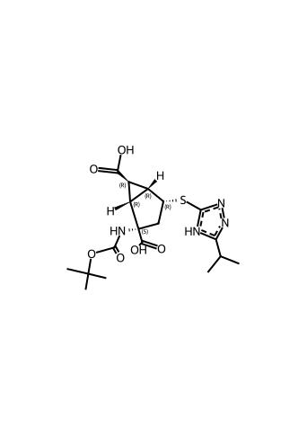 CC(C)c1nnc(S[C@@H]2C[C@@](NC(=O)OC(C)(C)C)(C(=O)O)[C@@H]3[C@@H](C(=O)O)[C@@H]32)[nH]1